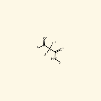 CNC(=O)C(F)(F)C(C)=O